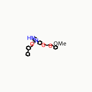 COc1ccccc1COCCCOc1ccc(N2CCNC[C@@H]2COCc2cccc(-c3ccccc3)c2)cc1